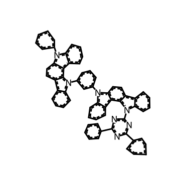 c1ccc(-c2nc(-c3ccccc3)nc(-n3c4ccccc4c4ccc5c(c6ccccc6n5-c5cccc(-n6c7ccccc7c7ccc8c(c9ccccc9n8-c8ccccc8)c76)c5)c43)n2)cc1